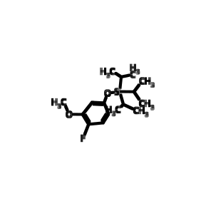 COc1cc(O[Si](C(C)C)(C(C)C)C(C)C)ccc1F